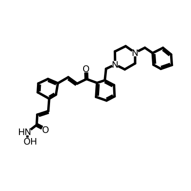 O=C(C=Cc1cccc(C=CC(=O)c2ccccc2CN2CCN(Cc3ccccc3)CC2)c1)NO